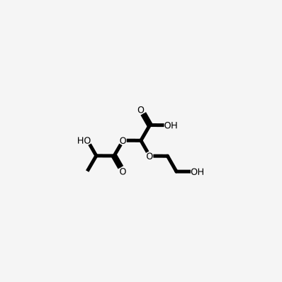 CC(O)C(=O)OC(OCCO)C(=O)O